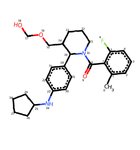 Cc1cccc(F)c1C(=O)N1CCCC(COCO)C1c1ccc(NC2CCCC2)cc1